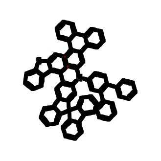 c1ccc(-c2ccc(N(c3ccc4c5ccccc5c5ccccc5c4c3)c3cc4c(cc3-c3cccc5sc6ccccc6c35)-c3ccccc3C43c4ccccc4-c4ccccc43)cc2-c2ccccc2)cc1